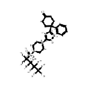 O=C1CCC(c2ccccc2)(c2nsc(N3CCN(S(=O)(=O)C(F)(F)C(F)(F)C(F)(F)C(F)(F)F)CC3)n2)CC1